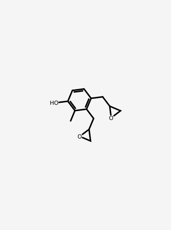 Cc1c(O)ccc(CC2CO2)c1CC1CO1